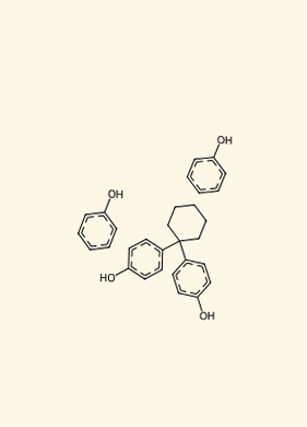 Oc1ccc(C2(c3ccc(O)cc3)CCCCC2)cc1.Oc1ccccc1.Oc1ccccc1